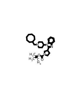 CC(C)(C)OC(=O)N1CCC(c2nc3ccccc3n2C2CCN(CC3CCCCCCC3)CC2)C1